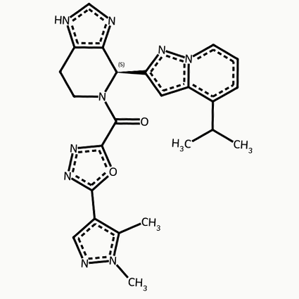 Cc1c(-c2nnc(C(=O)N3CCc4[nH]cnc4[C@H]3c3cc4c(C(C)C)cccn4n3)o2)cnn1C